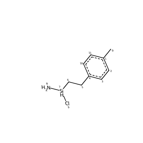 Cc1ccc(CC[SiH](N)Cl)cc1